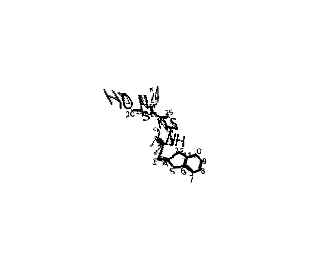 CC=C(CC1Cc2ccccc2C1)Nc1nc(-c2sc(CO)nc2C)cs1